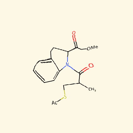 COC(=O)C1Cc2ccccc2N1C(=O)C(C)CSC(C)=O